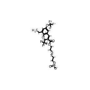 CCc1cc(OC(F)(F)F)cc2c1OC(C(F)(F)F)C(C(=O)OCCSSCCO[N+](=O)[O-])=C2